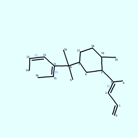 C=C/C=C(\C)C1CC(C(C)(C)C(/C=C\C)=C/C)CCC1C